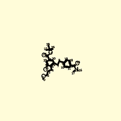 COCC1Cc2c(CCc3ccc(C(=O)N(C)C)cc3)cc(C(=O)OC(C)(C)C)cc2O1